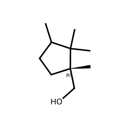 CC1CC[C@@](C)(CO)C1(C)C